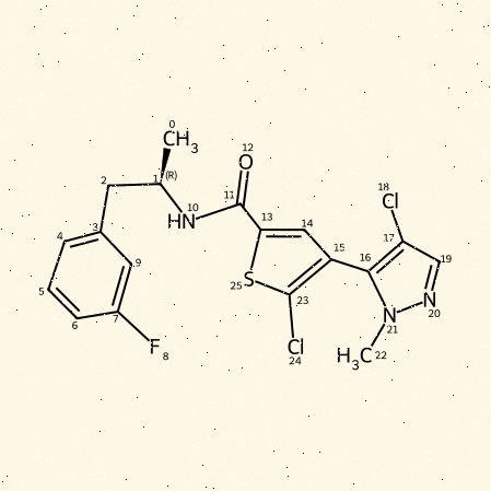 C[C@H](Cc1cccc(F)c1)NC(=O)c1cc(-c2c(Cl)cnn2C)c(Cl)s1